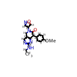 COc1ccc(C2C(=O)N(c3cnoc3)Cc3cnc(NCC(F)(F)F)nc32)cc1